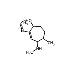 C/C=N\C1=CC(NC)C(C)CCC1O